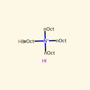 Br.CCCCCCCC[N+](CCCCCCCC)(CCCCCCCC)CCCCCCCC.I